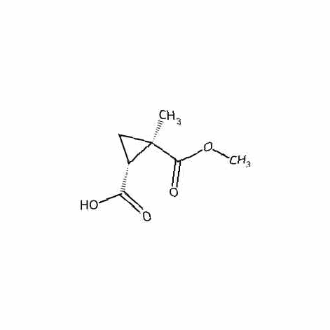 COC(=O)[C@]1(C)C[C@H]1C(=O)O